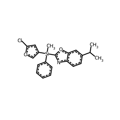 CC(C)c1ccc2nc([Si](C)(c3ccccc3)c3coc(Cl)c3)oc2c1